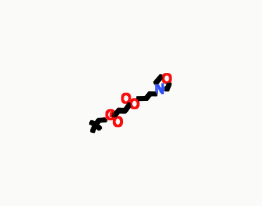 CC(C)(C)CCOC(=O)/C=C/C(=O)OCCCCN1CCOCC1